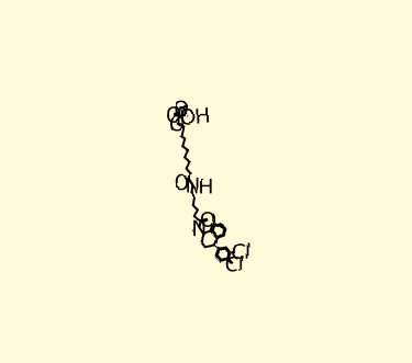 COP(=O)(O)OCCCCCCCCCC(=O)NCCCCCC(=O)N(C)[C@@H]1CC[C@H](c2ccc(Cl)c(Cl)c2)c2ccccc21